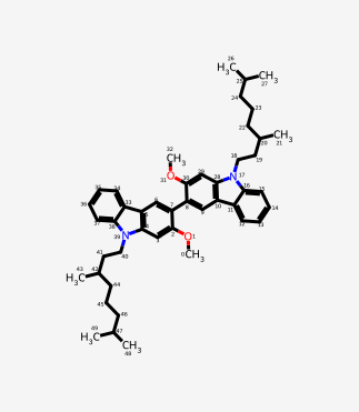 COc1[c]c2c(cc1-c1cc3c4ccccc4n(CCC(C)CCCC(C)C)c3[c]c1OC)c1ccccc1n2CCC(C)CCCC(C)C